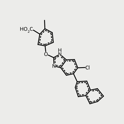 Cc1ccc(Oc2nc3cc(-c4ccc5ccccc5c4)c(Cl)cc3[nH]2)cc1C(=O)O